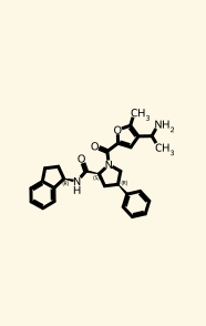 Cc1oc(C(=O)N2C[C@@H](c3ccccc3)C[C@H]2C(=O)N[C@@H]2CCc3ccccc32)cc1C(C)N